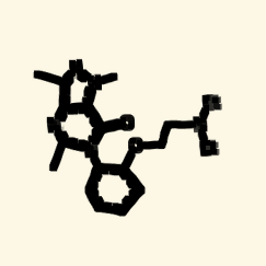 CCN(CC)CCOc1ccccc1-n1c(C)nc2c(C)nn(C)c2c1=O